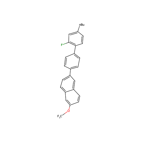 CCCCc1ccc(-c2ccc(-c3ccc4cc(OC(F)(F)F)ccc4c3)cc2)c(F)c1